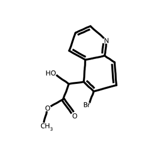 COC(=O)C(O)c1c(Br)ccc2ncccc12